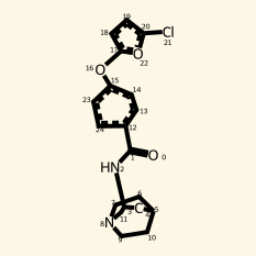 O=C(NC1CC2CCN(CC2)C1)c1ccc(Oc2ccc(Cl)o2)cc1